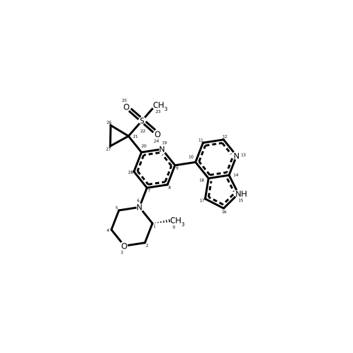 C[C@@H]1COCCN1c1cc(-c2ccnc3[nH]ccc23)nc(C2(S(C)(=O)=O)CC2)c1